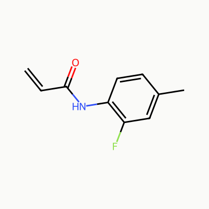 C=CC(=O)Nc1ccc(C)cc1F